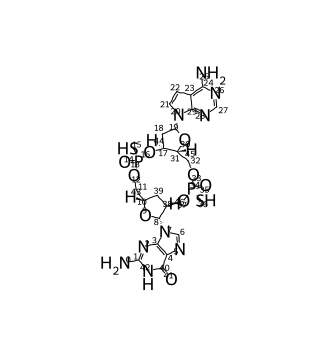 Nc1nc2c(ncn2[C@@H]2O[C@@H]3CO[P@@](=O)(S)O[C@H]4C[C@H](n5ccc6c(N)ncnc65)O[C@@H]4CO[P@@](=O)(S)O[C@@H]2C3)c(=O)[nH]1